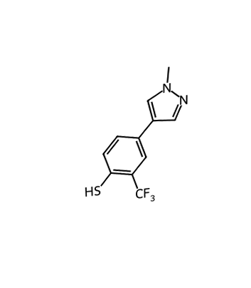 Cn1cc(-c2ccc(S)c(C(F)(F)F)c2)cn1